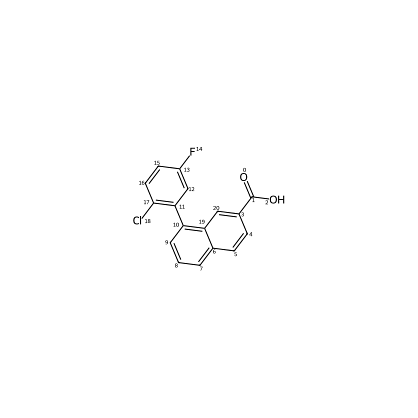 O=C(O)c1ccc2cccc(-c3cc(F)ccc3Cl)c2c1